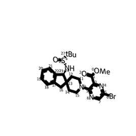 COC(=O)c1nc(Br)cnc1N1CCC2(CC1)Cc1ccccc1[C@H]2N[S+]([O-])C(C)(C)C